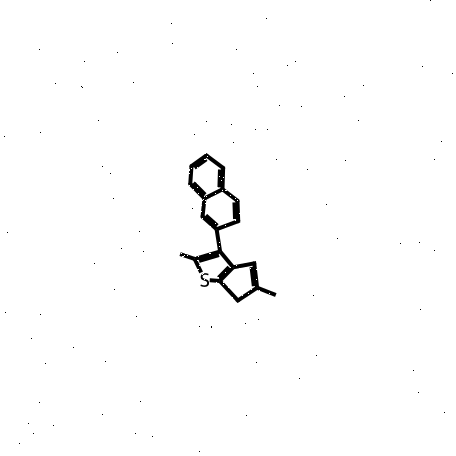 CC1=Cc2c(sc(C)c2-c2ccc3ccccc3c2)C1